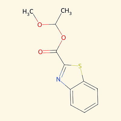 COC(C)OC(=O)c1nc2ccccc2s1